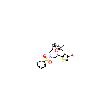 CC(C)CCN(CC(O[Si](C)(C)C(C)(C)C)c1cc(Br)cs1)S(=O)(=O)c1ccccc1